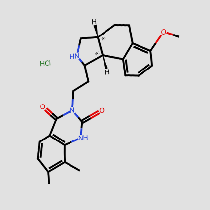 COc1cccc2c1CC[C@H]1CNC(CCn3c(=O)[nH]c4c(C)c(C)ccc4c3=O)[C@@H]21.Cl